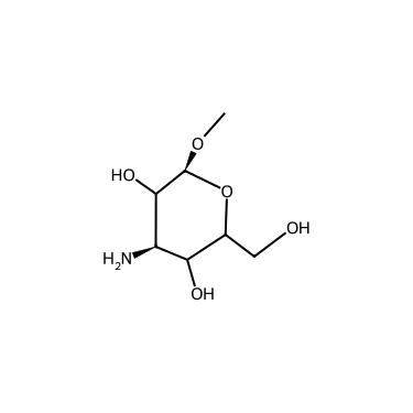 CO[C@H]1OC(CO)C(O)[C@@H](N)C1O